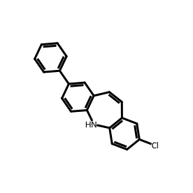 Clc1ccc2c(c1)C=Cc1cc(-c3ccccc3)ccc1N2